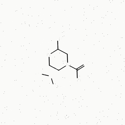 CC(C)(C)OC=O.CC1CN(C(=O)C(C)C)CCN1